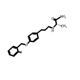 C[C@H](NCCCc1ccc(OCc2ccccc2F)cc1)C(N)=O